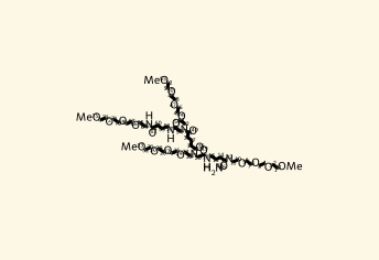 COCCOCCOCCOCCN=C(CCCNC(=O)CN(CCOCCOCCOCCOC)C(=O)CCCC(=O)N(CCOCCOCCOCCOC)CC(=O)NCCCC(=O)NCCOCCOCCOCCOC)ON